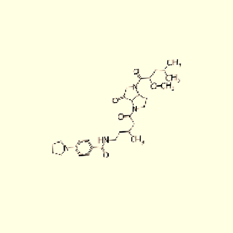 COC(CC(C)C)C(=O)N1CC(=O)C2C1CCN2C(=O)CC(C)CCNC(=O)c1ccc(N2CCCC2)cc1